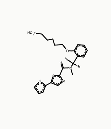 [2H]C([2H])(c1ccccc1OCCCCCC(=O)O)N(C)C(=O)c1ncc(-c2ccco2)s1